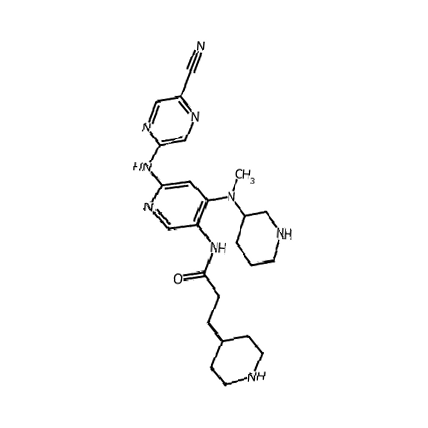 CN(c1cc(Nc2cnc(C#N)cn2)ncc1NC(=O)CCC1CCNCC1)C1CCCNC1